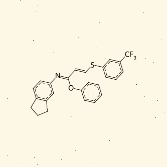 FC(F)(F)c1cccc(SC=CC(=Nc2ccc3c(c2)CCC3)Oc2ccccc2)c1